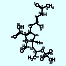 CC(=O)NC=C(Cl)SC1=C(C(=O)O)N2C(=O)[C@@H]([C@H](C)OS(=O)(=O)O)[C@H]2C1